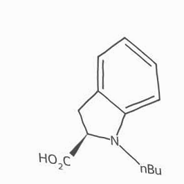 CCCCN1c2ccccc2C[C@@H]1C(=O)O